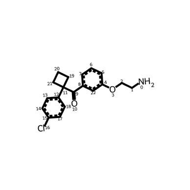 NCCOc1cccc(C(=O)C2(c3ccc(Cl)cc3)CCC2)c1